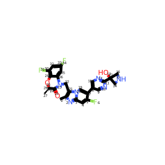 Cc1nc2cc(F)c(-c3cnc(C4(O)CNC4)nc3)cn2c1CN1C(=O)[C@@H](C)Oc2c(F)cc(F)cc21